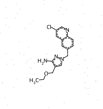 CCOCc1cn(Cc2ccc3ncc(Cl)cc3c2)nc1N